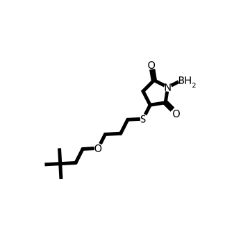 BN1C(=O)CC(SCCCOCCC(C)(C)C)C1=O